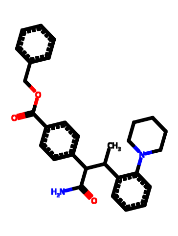 CC(c1ccccc1N1CCCCC1)C(C(N)=O)c1ccc(C(=O)OCc2ccccc2)cc1